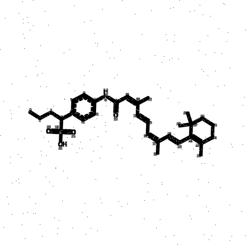 CCCC(c1ccc(NC(=O)C=C(C)C=CC=C(C)C=CC2=C(C)CCCC2(C)C)cc1)S(=O)(=O)O